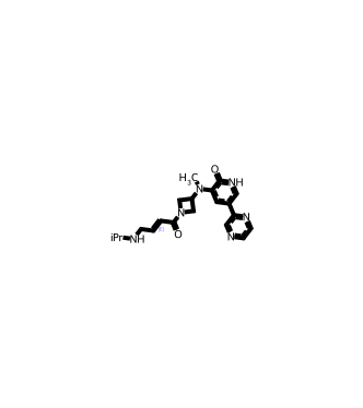 CC(C)NC/C=C/C(=O)N1CC(N(C)c2cc(-c3cnccn3)c[nH]c2=O)C1